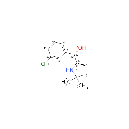 CC1(C)CC[C@H]([C@@H](O)c2cccc(Cl)c2)N1